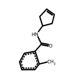 Cc1ccccc1C(=O)NC1CC=CC1